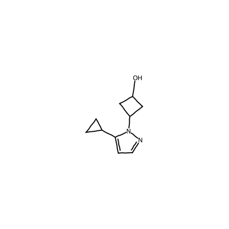 OC1CC(n2nccc2C2CC2)C1